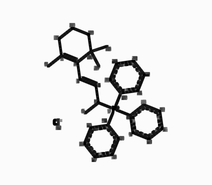 CC1=C(C=CC(C)[P+](c2ccccc2)(c2ccccc2)c2ccccc2)C(C)(C)CCC1.[Cl-]